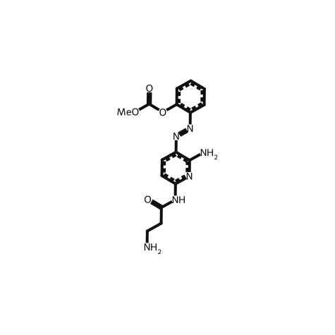 COC(=O)Oc1ccccc1/N=N/c1ccc(NC(=O)CCN)nc1N